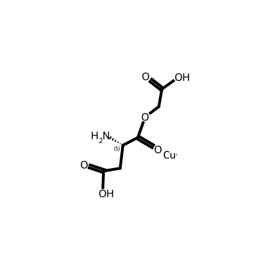 N[C@@H](CC(=O)O)C(=O)OCC(=O)O.[Cu]